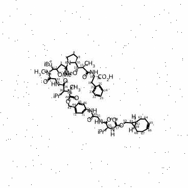 CCC(C)C(C(CC(=O)N1CCC[C@H]1[C@H](OC)[C@@H](C)C(=O)N[C@@H](Cc1ccccc1)C(=O)O)OC)N(C)C(=O)CNC(=O)C(C(C)C)N(C)C(=O)OCc1ccc(NC(=O)CNC(=O)C(NC(=O)OCC2[C@H]3CCC#CCC[C@@H]23)C(C)C)cc1